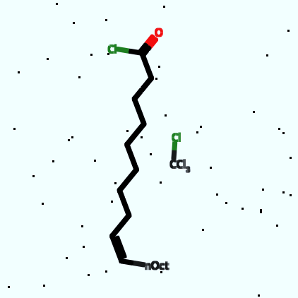 CCCCCCCC/C=C\CCCCCCCC(=O)Cl.ClC(Cl)(Cl)Cl